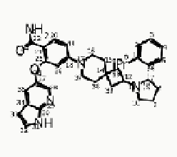 CC(C)c1ccccc1[C@@H]1CCCN1C1CC2(CCN(c3ccc(C(N)=O)c(Oc4cnc5[nH]ccc5c4)c3)CC2)C1